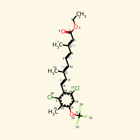 CCOC(=O)/C=C(C)/C=C/C=C(C)/C=C/c1c(Cl)cc(OC(F)(F)F)c(C)c1Cl